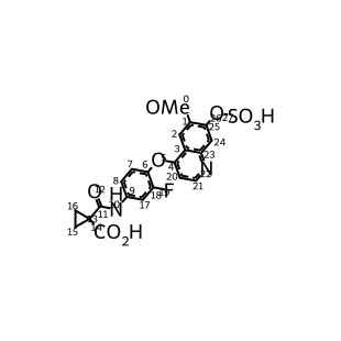 COc1cc2c(Oc3ccc(NC(=O)C4(C(=O)O)CC4)cc3F)ccnc2cc1OS(=O)(=O)O